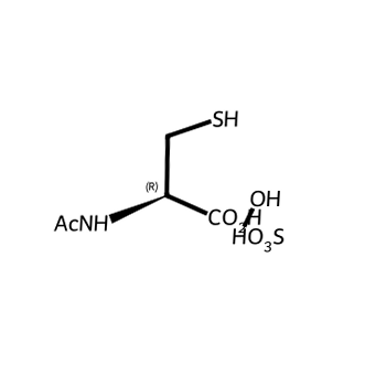 CC(=O)N[C@@H](CS)C(=O)O.O=S(=O)(O)O